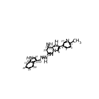 Cc1ccc(C2=CN3N=C(N/N=C/c4c[nH]c5ccccc45)C=C(N)C3N2)cn1